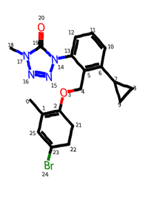 CC1=C(OCc2c(C3CC3)cccc2-n2nnn(C)c2=O)CCC(Br)=C1